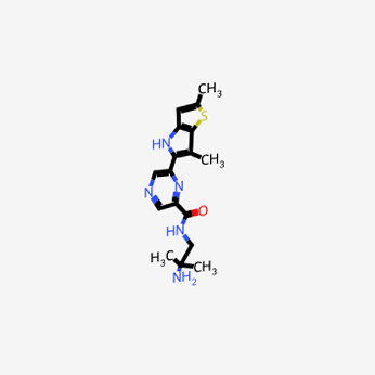 Cc1cc2[nH]c(-c3cncc(C(=O)NCC(C)(C)N)n3)c(C)c2s1